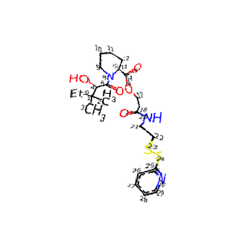 CCC(C)(C)C(O)C(=O)N1CCCC[C@H]1C(=O)OCC(=O)NCCSSc1ccccn1